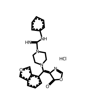 Cl.N=C(Nc1ccccc1)N1CCN(C(=C2N=COC2=O)c2cccc3cocc23)CC1